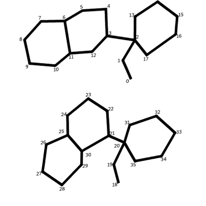 CCC1(C2CCC3CCCCC3C2)CCCCC1.CCC1(C2CCCC3CCCCC32)CCCCC1